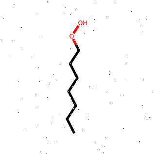 CCCCCCCOO